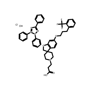 Cl.O=C(O)CCN1CCC2(CC1)COc1cc(OCCCc3ccccc3C(F)(F)F)ccc12.[Cl-].c1ccc(-c2nn(-c3ccccc3)[n+](-c3ccccc3)n2)cc1